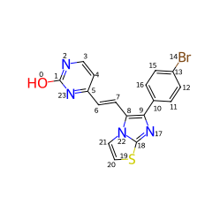 Oc1nccc(C=Cc2c(-c3ccc(Br)cc3)nc3sccn23)n1